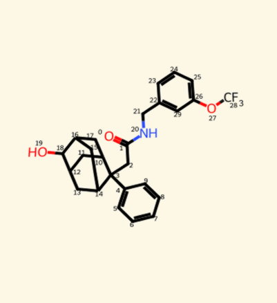 O=C(CC1(c2ccccc2)C2CC3CC1CC(C2)C3O)NCc1cccc(OC(F)(F)F)c1